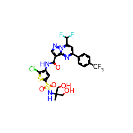 CC(CO)(CO)NS(=O)(=O)c1cc(NC(=O)c2cnn3c(C(F)F)cc(-c4ccc(C(F)(F)F)cc4)nc23)c(Cl)s1